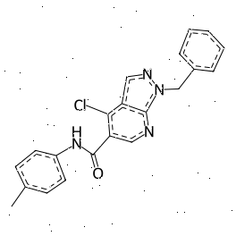 Cc1ccc(NC(=O)c2cnc3c(cnn3Cc3ccccc3)c2Cl)cc1